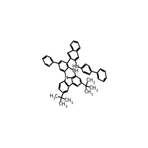 CC(C)(C)c1ccc2c(c1)c1cc(C(C)(C)C)cc3c1n2-c1cc(-c2ccccc2)cc(-c2cc4ccccc4cc2Nc2ccc(-c4ccccc4)cc2)c1B3